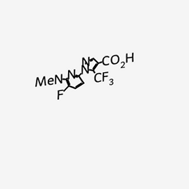 CNc1nc(-n2ncc(C(=O)O)c2C(F)(F)F)ccc1F